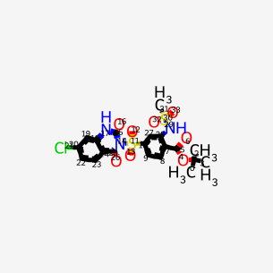 CC(C)(C)OC(=O)c1ccc(S(=O)(=O)n2c(=O)[nH]c3cc(Cl)ccc3c2=O)cc1NS(C)(=O)=O